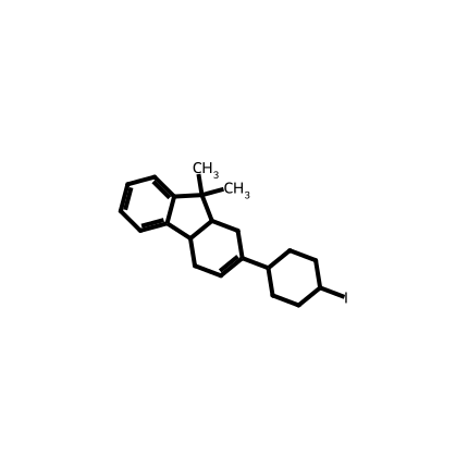 CC1(C)c2ccccc2C2CC=C(C3CCC(I)CC3)CC21